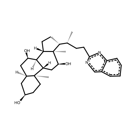 C[C@H](CCc1ncc2ccccc2n1)[C@H]1CC[C@H]2[C@@H]3[C@H](O)C[C@@H]4C[C@H](O)CC[C@]4(C)[C@H]3C[C@H](O)[C@]12C